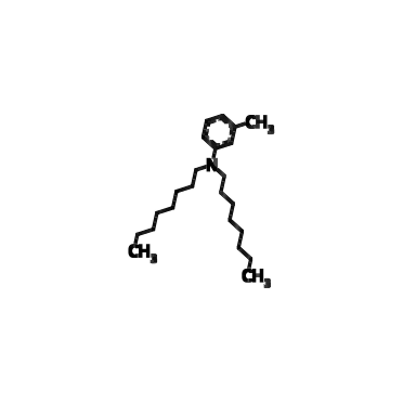 CCCCCCCCN(CCCCCCCC)c1cccc(C)c1